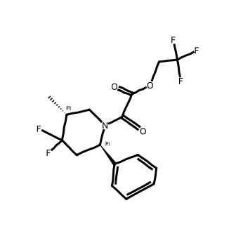 C[C@@H]1CN(C(=O)C(=O)OCC(F)(F)F)[C@@H](c2ccccc2)CC1(F)F